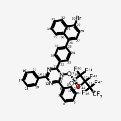 O=S(=O)(ON1C(c2ccccc2)=NC(c2ccccc2)=NC1c1ccc(-c2ccc(Br)c3ccccc23)cc1)C(F)(F)C(F)(F)C(F)(F)C(F)(F)F